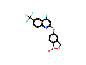 OB1OCc2cc(Oc3cc(F)c4cc(C(F)(F)F)ccc4n3)ccc21